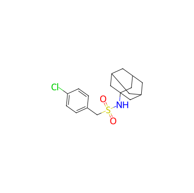 O=S(=O)(Cc1ccc(Cl)cc1)NC12CC3CC(CC(C3)C1)C2